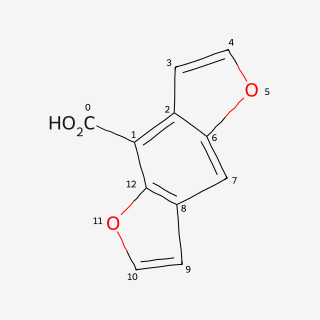 O=C(O)c1c2ccoc2cc2ccoc12